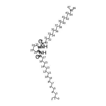 CC(C)CCCCCCCCCCCCCCCC(=O)N[C@H]1CCCC[C@@H]1NC(=O)CCCCCCCCCCCCCCCC(C)C